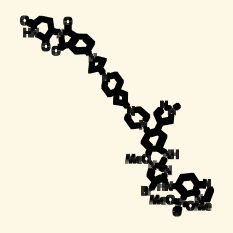 COc1cc(N2CCN(C3CC4(CCN(C5CN(c6ccc7c(c6)C(=O)N(C6CCC(=O)NC6=O)C7=O)C5)CC4)C3)CC2)c(-c2cnn(C)c2)cc1Nc1ncc(Br)c(Nc2ccc3nccnc3c2P(=O)(OC)OC)n1